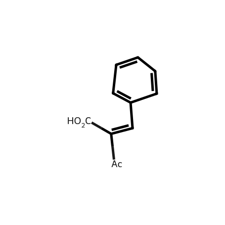 CC(=O)C(=Cc1ccccc1)C(=O)O